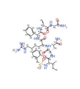 CCC(C)[C@@H](NS(=O)(=O)Cc1ccccc1)C(=O)N[C@@H](CCC(N)=O)C(=O)NC(CCCCNC(=N)N)C(=O)N[C@H](C(=O)N[C@@H](C)C(=O)NCC(N)=O)c1ccccc1